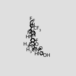 Cc1cc(Nc2nccn3c(-c4cn(CC(F)F)nc4C(F)(F)F)cnc23)cc(F)c1C(=O)NC(C)CNC(=O)[C@@H]1C[C@@H](O)CN1